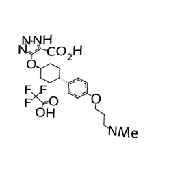 CNCCCOc1ccc([C@H]2CC[C@H](Oc3nn[nH]c3C(=O)O)CC2)cc1.O=C(O)C(F)(F)F